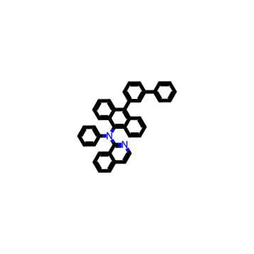 c1ccc(-c2cccc(-c3c4ccccc4c(N(c4ccccc4)c4nccc5ccccc45)c4ccccc34)c2)cc1